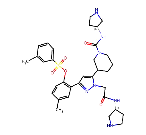 Cc1ccc(OS(=O)(=O)c2cccc(C(F)(F)F)c2)c(-c2cc(C3CCCN(C(=O)N[C@@H]4CCNC4)C3)n(CC(=O)N[C@@H]3CCNC3)n2)c1